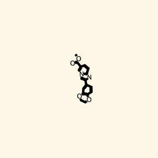 COC(=O)c1ccc2nc(-c3ccc4c(c3)OCCO4)cn2c1